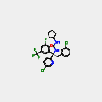 O=C(NC1CCCC1)N[C@](Cc1cccc(Cl)c1)(c1cc(F)cc(C(F)(F)F)c1)c1ccc(Cl)cn1